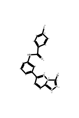 O=C(Nc1cccc(-c2ccc3nnc(Br)n3n2)c1)c1ccc(F)cc1